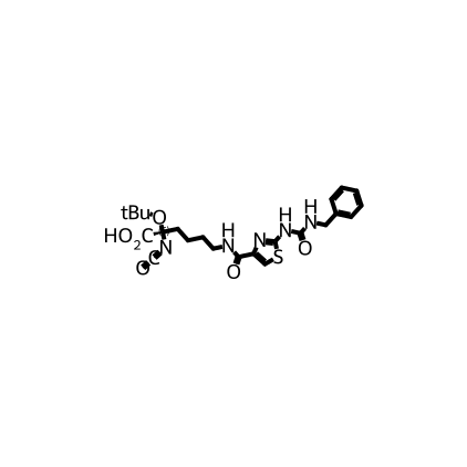 CC(C)(C)O[C@](CCCCNC(=O)c1csc(NC(=O)NCc2ccccc2)n1)(N=C=O)C(=O)O